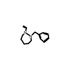 C=CN1CCCCCN1Cc1ccccc1